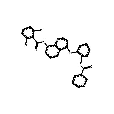 O=C(Nc1ccccc1Nc1ccnc2c(NC(=O)c3c(Cl)cccc3Cl)cccc12)c1cccnc1